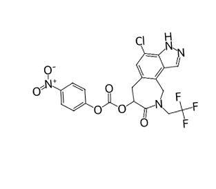 O=C(Oc1ccc([N+](=O)[O-])cc1)OC1Cc2cc(Cl)c3[nH]ncc3c2CN(CC(F)(F)F)C1=O